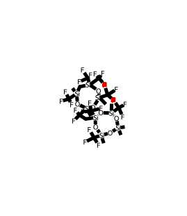 C[Si]1(C)O[Si](C)(C(F)(F)F)O[Si](CC(F)(F)[Si]2(C)O[Si](C)(C(F)(F)F)C[Si](C(F)(F)F)(C(F)(F)F)O[Si](C)(C(F)(F)F)O2)(C(F)(F)F)O[Si](C)(C(F)(F)F)O1